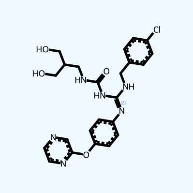 O=C(NCC(CO)CO)N/C(=N\c1ccc(Oc2cnccn2)cc1)NCc1ccc(Cl)cc1